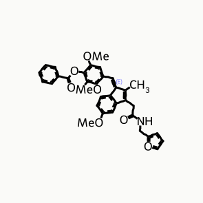 COc1ccc2c(c1)C(CC(=O)NCc1ccco1)=C(C)/C2=C/c1cc(OC)c(OC(=O)c2ccccc2)c(OC)c1